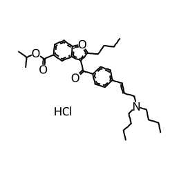 CCCCc1oc2ccc(C(=O)OC(C)C)cc2c1C(=O)c1ccc(C=CCN(CCCC)CCCC)cc1.Cl